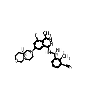 Cc1c(C#N)cccc1[C@@H](N)Nc1nnc(C)c2c(F)cc(N3CCN4COCC[C@@H]4C3)cc12